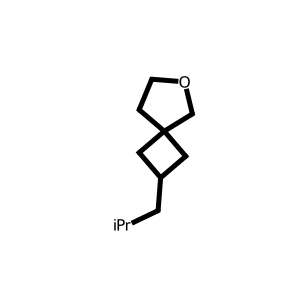 CC(C)CC1CC2(CCOC2)C1